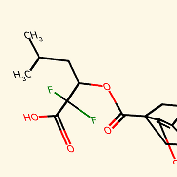 CC(C)CC(OC(=O)C12CC(O)=C3C(CC3C1)C2)C(F)(F)C(=O)O